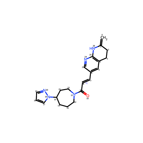 C=C1CCc2cc(/C=C/C(=O)N3CCCC(n4cccn4)CC3)cnc2N1